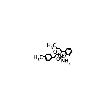 CCCC(c1ccccc1)N(C(=O)Cc1ccc(C)cc1)S(N)(=O)=O